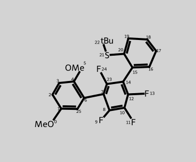 COc1ccc(OC)c(-c2c(F)c(F)c(F)c(-c3ccccc3SC(C)(C)C)c2F)c1